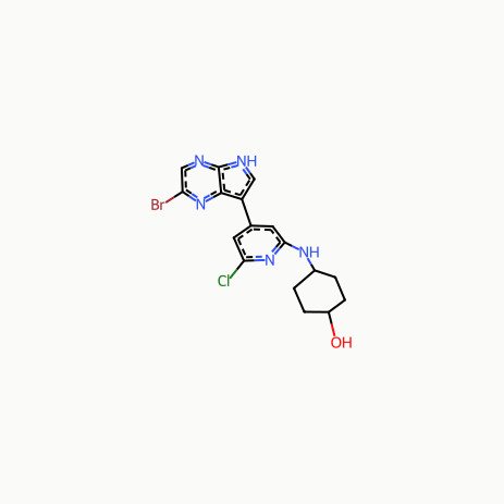 OC1CCC(Nc2cc(-c3c[nH]c4ncc(Br)nc34)cc(Cl)n2)CC1